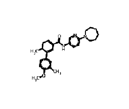 COc1ccc(C2=CC(C(=O)Nc3ccc(N4CCCCCC4)nc3)=CCC2C)cc1C